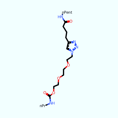 CCCCCNC(=O)CCCc1cn(CCOCCOCCOC(=O)NCCC)nn1